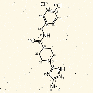 Nc1n[nH]c(N2CCC(C(=O)NCc3ccc(Cl)c(Cl)c3)CC2)n1